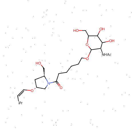 CC(=O)NC1C(OCCCCCC(=O)N2C[C@H](O/C=C\C(C)C)C[C@H]2CO)OC(CO)C(O)C1O